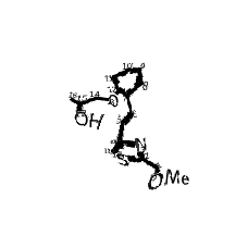 COCc1nc(C=Cc2ccccc2OCC(C)O)cs1